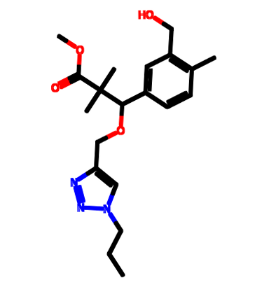 CCCn1cc(COC(c2ccc(C)c(CO)c2)C(C)(C)C(=O)OC)nn1